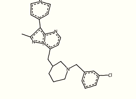 Cc1nn2c(CC3CCCN(Cc4cccc(Cl)c4)C3)ccnc2c1-c1ccncc1